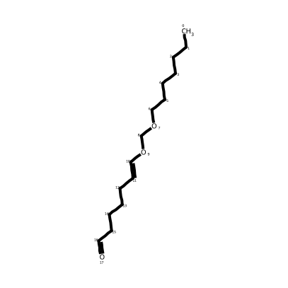 CCCCCCCOCOC=CCCCCC=O